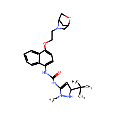 CN1NC(C(C)(C)C)C=C1NC(=O)Nc1ccc(OCCN2CC3CC2CO3)c2ccccc12